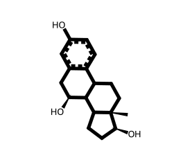 C[C@]12CCC3c4ccc(O)cc4C[C@H](O)C3C1CC[C@@H]2O